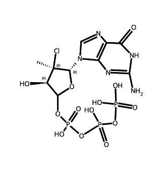 C[C@@]1(Cl)[C@H](O)C(OP(=O)(O)OP(=O)(O)OP(=O)(O)O)O[C@H]1n1cnc2c(=O)[nH]c(N)nc21